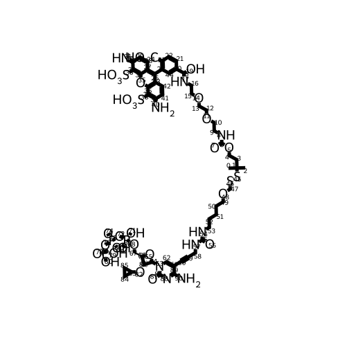 CC(C)(CCOC(=O)NCCOCCOCCNC(O)c1ccc(C(=O)O)c(-c2c3ccc(=N)c(S(=O)(=O)O)c-3oc3c(S(=O)(=O)O)c(N)ccc23)c1)SSCOCCCCCNC(=O)NCC#Cc1cn(C2O[C@H](COP(=O)(O)OP(=O)(O)OP(=O)(O)O)[C@H]2OC2CC2)c(=O)nc1N